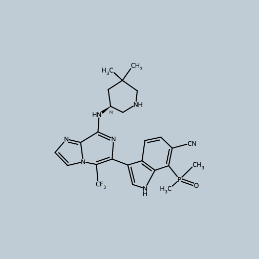 CC1(C)CNC[C@@H](Nc2nc(-c3c[nH]c4c(P(C)(C)=O)c(C#N)ccc34)c(C(F)(F)F)n3ccnc23)C1